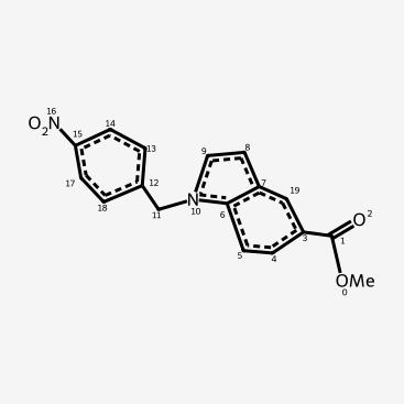 COC(=O)c1ccc2c(ccn2Cc2ccc([N+](=O)[O-])cc2)c1